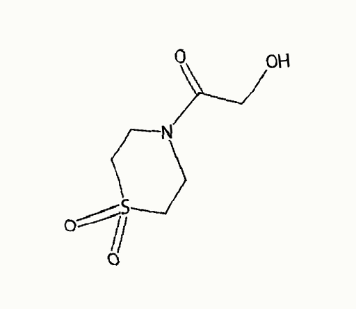 O=C(CO)N1CCS(=O)(=O)CC1